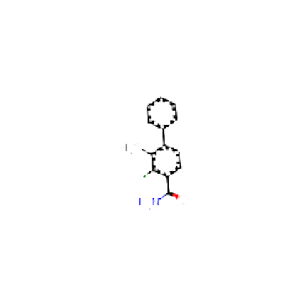 Cc1c(-c2ccccc2)ccc(C(N)=O)c1F